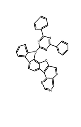 c1ccc(-c2nc(-c3ccccc3)nc(-n3c4ccccc4c4ccc5c(oc6ccc7cncnc7c65)c43)n2)cc1